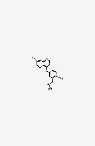 CCCNCc1cc(Nc2ccnc3cc(Cl)ccc23)ccc1O